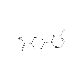 C[C@@H]1CN(C(=O)O)CCN1c1cccc(Cl)n1